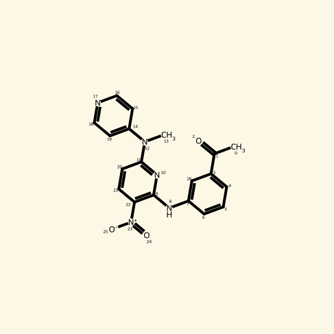 CC(=O)c1cccc(Nc2nc(N(C)c3ccncc3)ccc2[N+](=O)[O-])c1